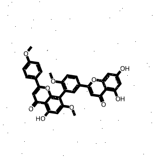 COc1ccc(-c2cc(=O)c3c(O)cc(OC)c(-c4cc(-c5cc(=O)c6c(O)cc(O)cc6o5)ccc4OC)c3o2)cc1